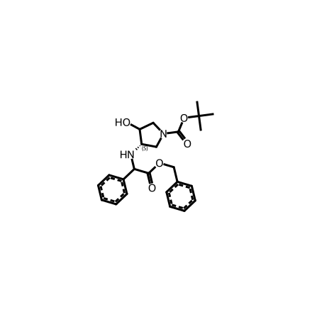 CC(C)(C)OC(=O)N1CC(O)[C@@H](NC(C(=O)OCc2ccccc2)c2ccccc2)C1